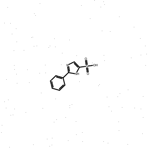 O=S(=O)(O)c1cnc(-c2ccccc2)[nH]1